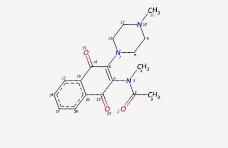 CC(=O)N(C)C1=C(N2CCN(C)CC2)C(=O)c2ccccc2C1=O